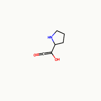 O=C=C(O)C1CCCN1